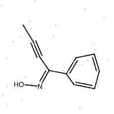 CC#CC(=NO)c1ccccc1